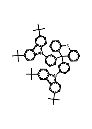 CC(C)(C)c1ccc2c(c1)c1cc(C(C)(C)C)ccc1n2-c1cccc(C2(c3cccc(-n4c5ccc(C(C)(C)C)cc5c5cc(C(C)(C)C)ccc54)c3)c3ccccc3Sc3ccccc32)c1